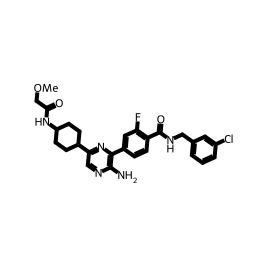 COCC(=O)NC1CCC(c2cnc(N)c(-c3ccc(C(=O)NCc4cccc(Cl)c4)c(F)c3)n2)CC1